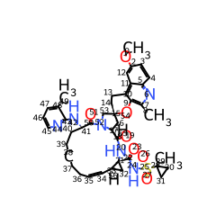 COc1ccc2nc(C)c3c(c2c1)CC[C@]1(C[C@H]2C(=O)N[C@]4(C(=O)NS(=O)(=O)C5(C)CC5)C[C@H]4/C=C\CCCCC[C@H](Nc4ncccc4C)C(=O)N2C1)O3